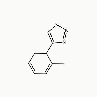 [CH2]c1ccccc1-c1csnn1